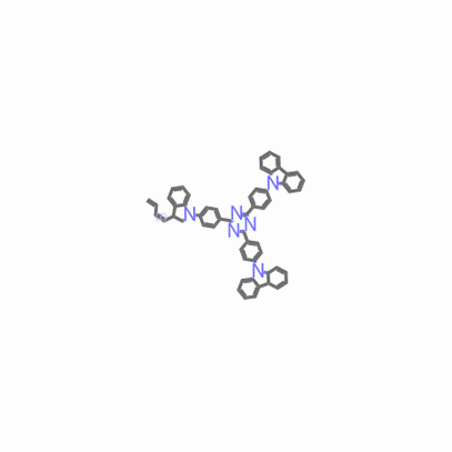 C=C/C=C\C1CN(c2ccc(-c3nc(-c4ccc(N5c6ccccc6C6C=CC=CC65)cc4)nc(-c4ccc(-n5c6ccccc6c6ccccc65)cc4)n3)cc2)c2ccccc21